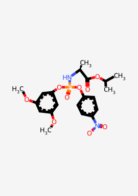 COc1cc(OC)cc(OP(=O)(N[C@@H](C)C(=O)OC(C)C)Oc2ccc([N+](=O)[O-])cc2)c1